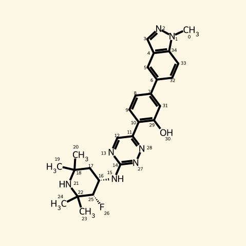 Cn1ncc2cc(-c3ccc(-c4cnc(N[C@H]5CC(C)(C)NC(C)(C)[C@H]5F)nn4)c(O)c3)ccc21